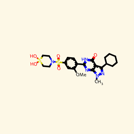 COc1cc(S(=O)(=O)N2CCS(O)(O)CC2)ccc1-c1nc2c(c(C3CCCCC3)nn2C)c(=O)[nH]1